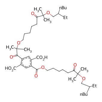 CCCCC(CC)COC(C)(C)C(=O)CCCCCOC(=O)c1cc(C(=O)O)c(C(=O)C(C)(C)OCCCCCC(=O)C(C)(C)OCC(CC)CCCC)cc1C(=O)O